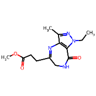 CCn1nc(C)c2c1C(=O)NCC(CCC(=O)OC)=N2